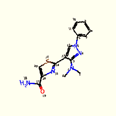 CN(C)c1nn(-c2ccccc2)cc1-c1nc(C(N)=O)cs1